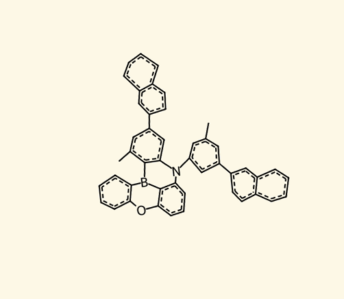 Cc1cc(-c2ccc3ccccc3c2)cc(N2c3cc(-c4ccc5ccccc5c4)cc(C)c3B3c4ccccc4Oc4cccc2c43)c1